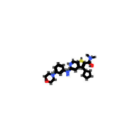 CN(C)C(=O)c1sc2cnc(Nc3cccc(N4CCOCC4)c3)cc2c1C1CCCC1